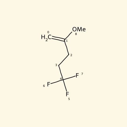 C=C(CCC(F)(F)F)OC